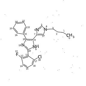 CCCCn1cnc(-c2[nH]c(-c3c(F)cccc3Cl)nc2-c2ccccc2)c1